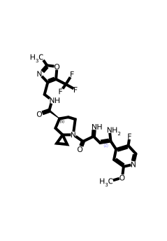 COc1cc(/C(N)=C/C(=N)C(=O)N2CC[C@H](C(=O)NCc3nc(C)oc3C(F)(F)F)CC23CC3)c(F)cn1